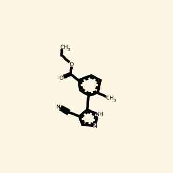 CCOC(=O)c1ccc(C)c(-c2[nH]ncc2C#N)c1